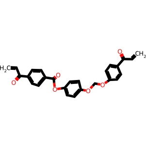 C=CC(=O)c1ccc(OCOc2ccc(OC(=O)c3ccc(C(=O)C=C)cc3)cc2)cc1